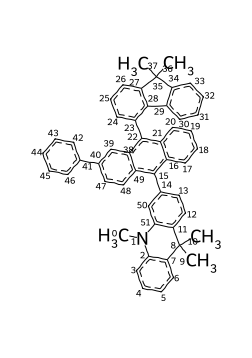 CN1c2ccccc2C(C)(C)c2ccc(-c3c4ccccc4c(-c4cccc5c4-c4ccccc4C5(C)C)c4cc(-c5ccccc5)ccc34)cc21